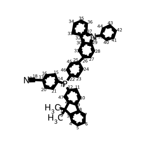 CC1(C)c2ccccc2-c2ccc(P(c3ccc(C#N)cc3)c3ccc(-c4ccc5c(c4)c4ccccc4n5-c4ccccc4)cc3)cc21